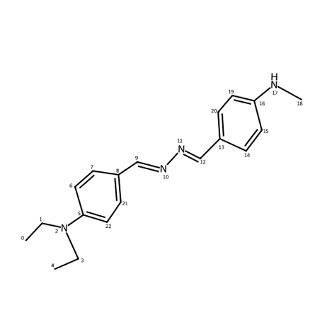 CCN(CC)c1ccc(/C=N/N=C/c2ccc(NC)cc2)cc1